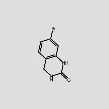 O=C1NCc2ccc(Br)cc2N1